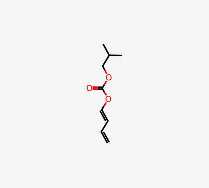 [CH]=CC=COC(=O)OCC(C)C